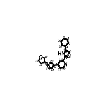 c1ccc(-c2cnc(-c3cc(-c4cnn(C5CCOC5)c4)ccn3)[nH]2)cc1